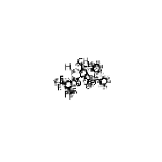 CC(C)(C)c1ccc(OP(=O)(OCc2ccccc2)OCc2ccccc2)c(C(=O)Nc2cc(C(F)(F)F)cc(C(F)(F)F)c2)c1